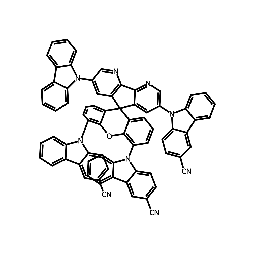 N#Cc1ccc2c(c1)c1ccccc1n2-c1cnc2c(c1)C1(c3cc(-n4c5ccccc5c5ccccc54)cnc3-2)c2cccc(-n3c4ccccc4c4cc(C#N)ccc43)c2Oc2c(-n3c4ccccc4c4cc(C#N)ccc43)cccc21